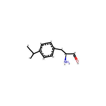 CC(C)c1ccc(C[C@H](N)C=O)cc1